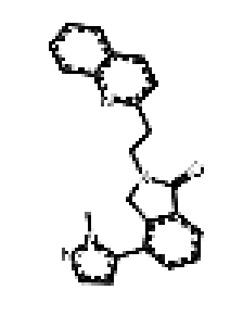 Cn1nccc1-c1cccc2c1CN(CCc1ccc3ccccc3n1)C2=O